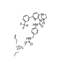 C=CCC[C@H]1[C@@H](CCC)[C@H]1COC(=O)NCc1ccc(NC(=O)N2c3nc(-c4cccc(C(F)(F)F)c4)ccc3N3CC[C@H]2C3)cc1